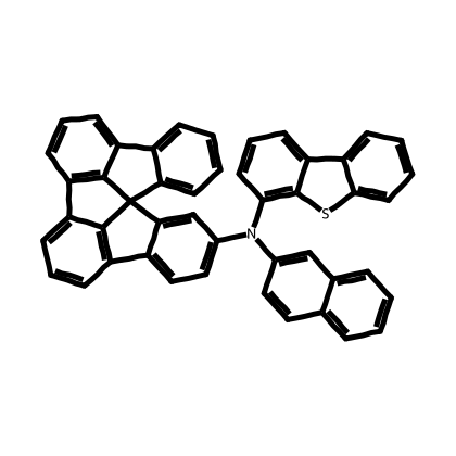 c1ccc2c(c1)-c1cccc3c1C21c2cc(N(c4ccc5ccccc5c4)c4cccc5c4sc4ccccc45)ccc2-c2cccc-3c21